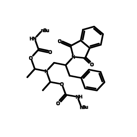 CCCCNC(=O)OC(C)N(CC(Cc1ccccc1)N1C(=O)c2ccccc2C1=O)C(C)OC(=O)NCCCC